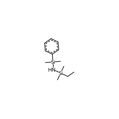 CC[Si](C)(C)N[Si](C)(C)c1ccccc1